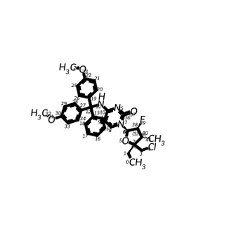 CC[C@@]1(CCl)O[C@@H](n2ccc(NC(c3ccccc3)(c3ccc(OC)cc3)c3ccc(OC)cc3)nc2=O)[C@@H](F)[C@@H]1C